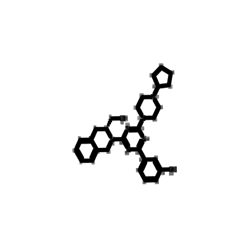 OC[C@H]1Cc2ccccc2CN1c1nc(-c2cccc(O)c2)nc(N2CCN(C3CCCC3)CC2)n1